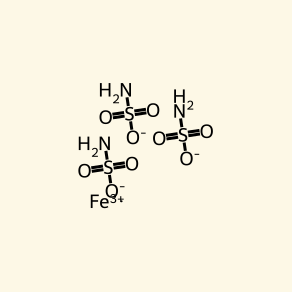 NS(=O)(=O)[O-].NS(=O)(=O)[O-].NS(=O)(=O)[O-].[Fe+3]